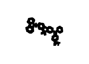 CC(C)c1ccc(N(c2ccccc2)c2ccc3c(c2)C(C)(C)c2cc(-n4c5ccccc5c5ccccc54)ccc2-3)cc1